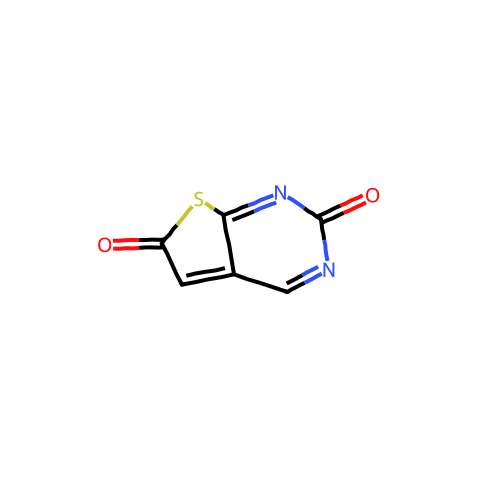 O=C1N=CC2=CC(=O)SC2=N1